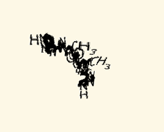 CCC(CC(C)OC(=O)OC(C)CC(CC)n1cc(-c2ncnc3[nH]ccc23)cn1)n1cc(-c2ncnc3[nH]ccc23)cn1